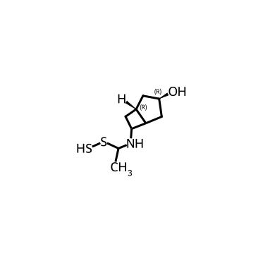 CC(NC1C[C@@H]2C[C@@H](O)CC12)SS